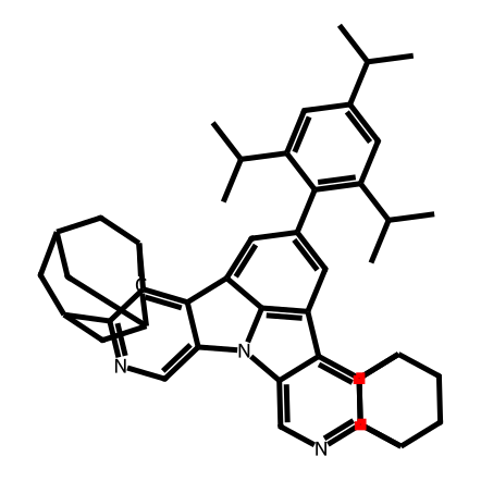 CC(C)c1cc(C(C)C)c(-c2cc3c4c5c(ncc4n4c6cnc7c(c6c(c2)c34)C2CC3CC(CC7C3)C2)C2CCC5CC2)c(C(C)C)c1